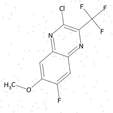 COc1cc2nc(Cl)c(C(F)(F)F)nc2cc1F